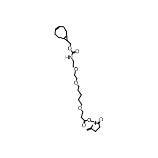 C=C1CCC(=O)N1OC(=O)CCOCCCCCOCCOCCNC(=O)OCC1C2CC/C=C\CCC21